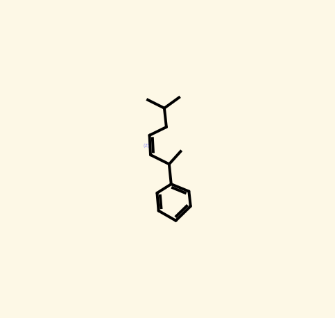 CC(C)C/C=C\C(C)c1ccccc1